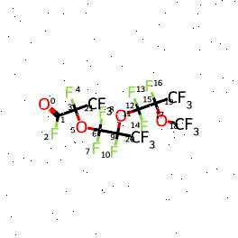 O=C(F)C(F)(OC(F)(F)C(F)(OC(F)(F)C(F)(OC(F)(F)F)C(F)(F)F)C(F)(F)F)C(F)(F)F